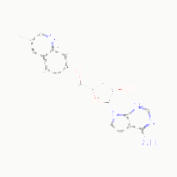 Cc1cnc2cc(OCC3C[C@@H](O)C(n4ccc5c(N)ncnc54)O3)ccc2c1